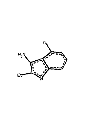 CCn1nc2cccc(Cl)c2c1N